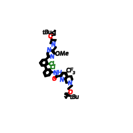 COc1nc(-c2cccc(-c3cccc(NC(=O)c4cc(C(F)(F)F)c5c(n4)CN(CCO[Si](C)(C)C(C)(C)C)CC5)c3Cl)c2Cl)cnc1CN1CC(O[Si](C)(C)C(C)(C)C)C1